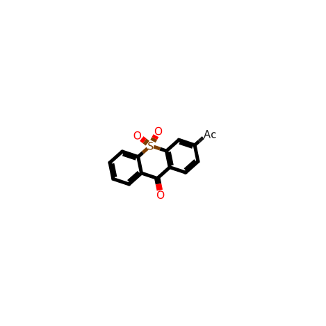 CC(=O)c1ccc2c(c1)S(=O)(=O)c1ccccc1C2=O